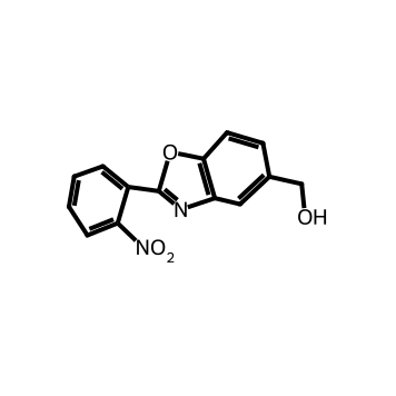 O=[N+]([O-])c1ccccc1-c1nc2cc(CO)ccc2o1